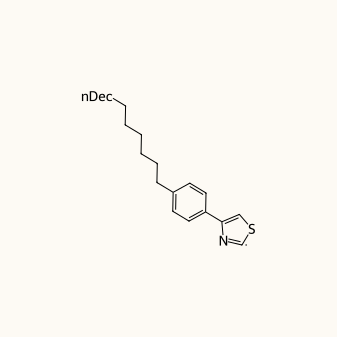 CCCCCCCCCCCCCCCCc1ccc(-c2cs[c]n2)cc1